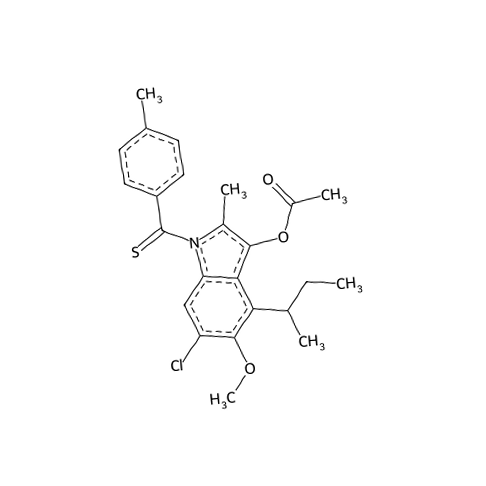 CCC(C)c1c(OC)c(Cl)cc2c1c(OC(C)=O)c(C)n2C(=S)c1ccc(C)cc1